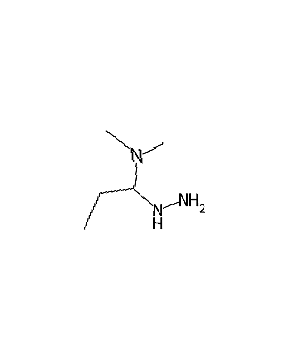 CCC(NN)N(C)C